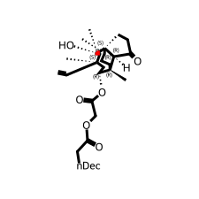 C=C[C@]1(C)C[C@@H](OC(=O)COC(=O)CCCCCCCCCCC)[C@]2(C)CC[C@@H](C)[C@@]3(CCC(=O)[C@@H]23)[C@@H](C)[C@@H]1O